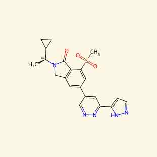 C[C@@H](C1CC1)N1Cc2cc(-c3cnnc(-c4ccn[nH]4)c3)cc(S(C)(=O)=O)c2C1=O